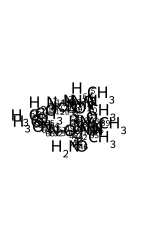 CCn1nc(C)cc1C(=O)Nc1nc2cc(C(N)=O)ccc2n1C/C=C/Cn1c(NC(=O)c2cc(C)nn2CC)nc2cc(C(N)=O)cc(OCCCN3CCN(C(=O)OC(C)(C)C)CC3)c21